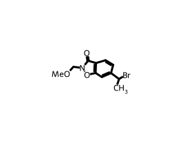 COCn1oc2cc(C(C)Br)ccc2c1=O